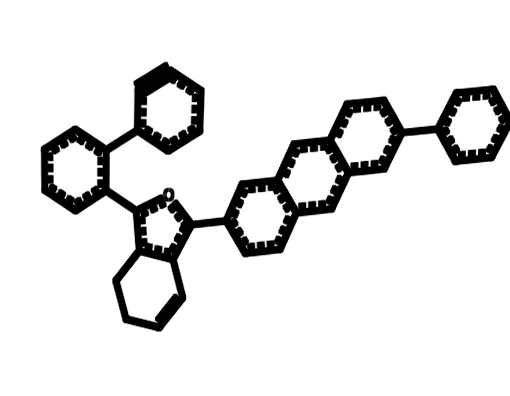 c1cccc(-c2ccccc2-c2oc(-c3ccc4cc5cc(-c6ccccc6)ccc5cc4c3)c3c2CCC=C3)c#1